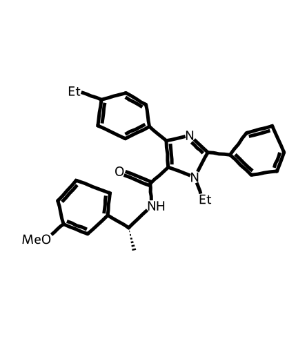 CCc1ccc(-c2nc(-c3ccccc3)n(CC)c2C(=O)N[C@H](C)c2cccc(OC)c2)cc1